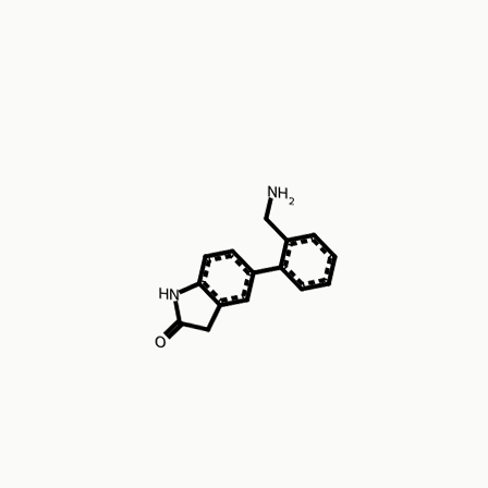 NCc1ccccc1-c1ccc2c(c1)CC(=O)N2